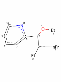 CCCC(CC)C(OCC)c1ccccn1